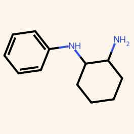 NC1CCCCC1Nc1ccccc1